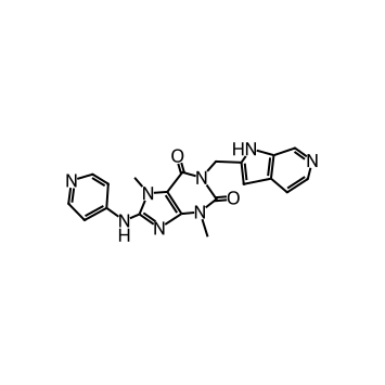 Cn1c(Nc2ccncc2)nc2c1c(=O)n(Cc1cc3ccncc3[nH]1)c(=O)n2C